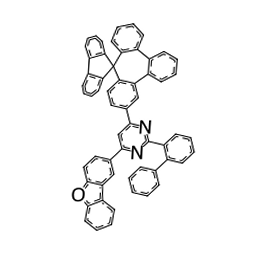 c1ccc(-c2ccccc2-c2nc(-c3ccc4c(c3)-c3ccccc3-c3ccccc3C43c4ccccc4-c4ccccc43)cc(-c3ccc4oc5ccccc5c4c3)n2)cc1